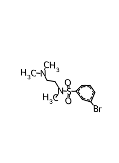 CN(C)CCN(C)S(=O)(=O)c1cccc(Br)c1